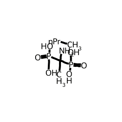 CC(N)(P(=O)(O)O)P(=O)(O)O.CCCC